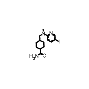 CN(CC1CCC(C(N)=O)CC1)c1ccc(I)cn1